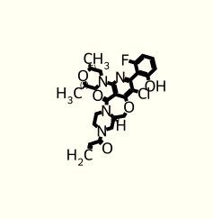 C=CC(=O)N1CCN2C(=O)c3c(N4C[C@H](C)O[C@@H](C)C4)nc(-c4c(O)cccc4F)c(Cl)c3OC[C@H]2C1